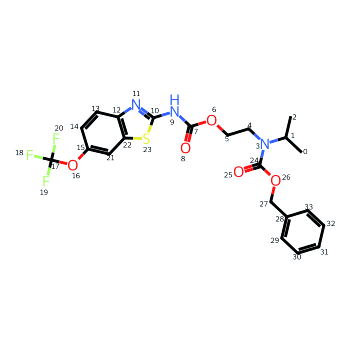 CC(C)N(CCOC(=O)Nc1nc2ccc(OC(F)(F)F)cc2s1)C(=O)OCc1ccccc1